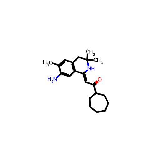 Cc1cc2c(cc1N)C(=CC(=O)C1CCCCCC1)NC(C)(C)C2